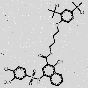 CCC(C)(C)c1ccc(OCCCCNC(=O)c2cc(NS(=O)(=O)c3ccc(Cl)c([N+](=O)[O-])c3)c3ccccc3c2O)c(C(C)(C)CC)c1